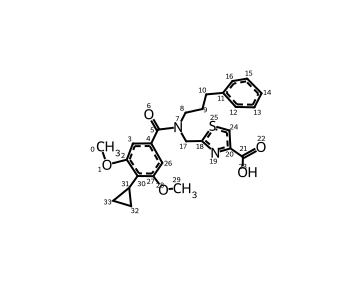 COc1cc(C(=O)N(CCCc2ccccc2)Cc2nc(C(=O)O)cs2)cc(OC)c1C1CC1